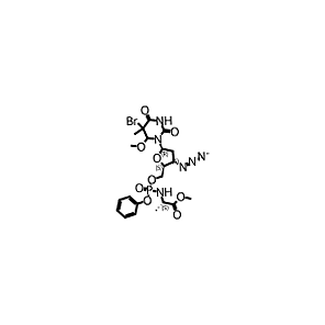 COC(=O)[C@H](C)NP(=O)(OC[C@H]1O[C@@H](N2C(=O)NC(=O)C(C)(Br)C2OC)C[C@@H]1N=[N+]=[N-])Oc1ccccc1